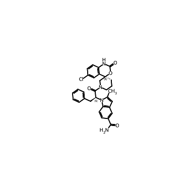 Cc1cc2cc(C(N)=O)ccc2n1[C@@H](Cc1ccccc1)C(=O)N1CCC[C@@]2(C1)OC(=O)Nc1ccc(Cl)cc12